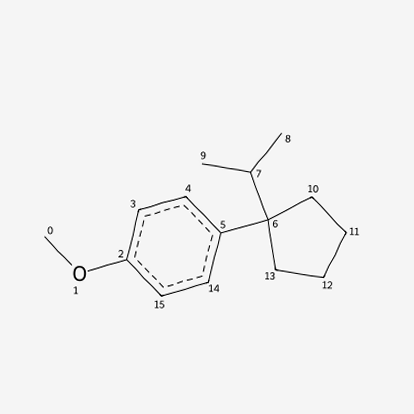 COc1ccc(C2(C(C)C)CCCC2)cc1